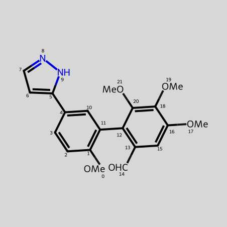 COc1ccc(-c2ccn[nH]2)cc1-c1c(C=O)cc(OC)c(OC)c1OC